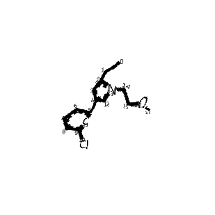 CCc1cc(-c2cccc(Cl)c2)cn1CCOC